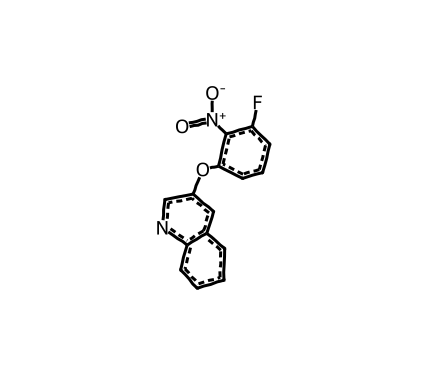 O=[N+]([O-])c1c(F)cccc1Oc1cnc2ccccc2c1